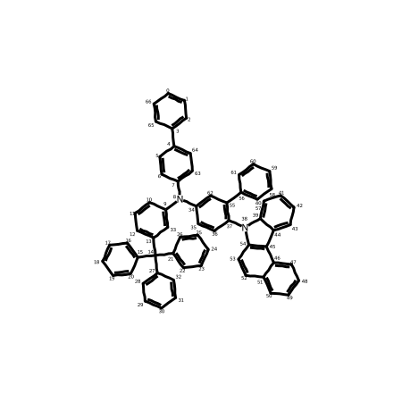 c1ccc(-c2ccc(N(c3cccc(C(c4ccccc4)(c4ccccc4)c4ccccc4)c3)c3ccc(-n4c5ccccc5c5c6ccccc6ccc54)c(-c4ccccc4)c3)cc2)cc1